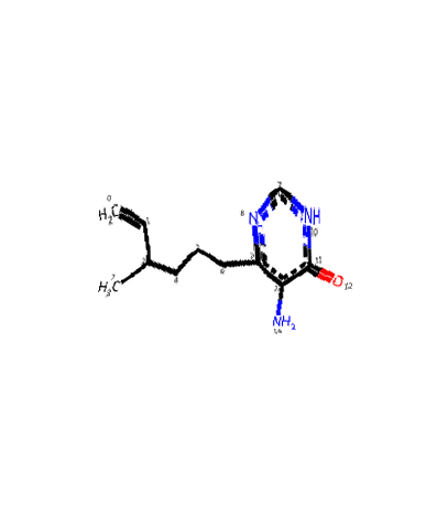 C=CC(C)CCCc1nc[nH]c(=O)c1N